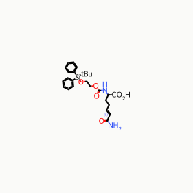 CC(C)(C)[Si](OCCOC(=O)NC(CC/C=C/C(N)=O)C(=O)O)(c1ccccc1)c1ccccc1